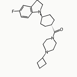 O=C([C@H]1CC[C@H](N2CCc3cc(F)ccc32)CC1)N1CCN(C2CCC2)CC1